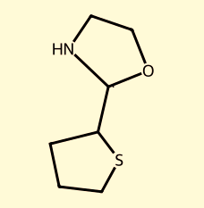 C1CSC([C]2NCCO2)C1